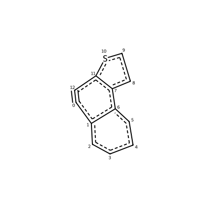 c1c2ccccc2c2ccsc2c#1